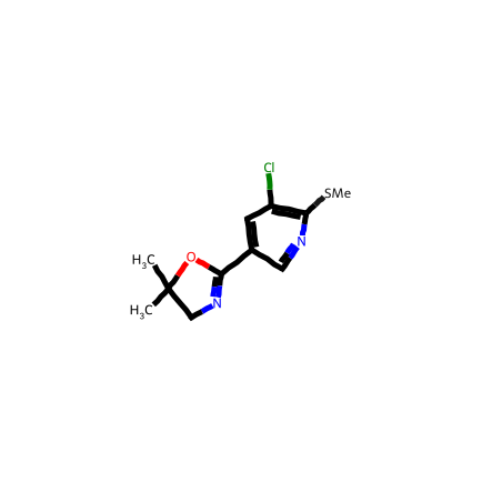 CSc1ncc(C2=NCC(C)(C)O2)cc1Cl